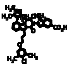 Cc1cc(OCCCc2c3n(c4c(-c5c(C)nn(C)c5C)cccc24)[C@H](C)C(Cl)N(c2cc4cc(C(=O)O)ccc4n2C)C3=O)cc(C)c1Cl